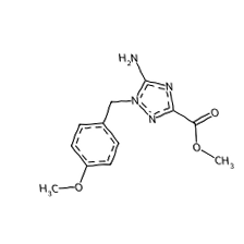 COC(=O)c1nc(N)n(Cc2ccc(OC)cc2)n1